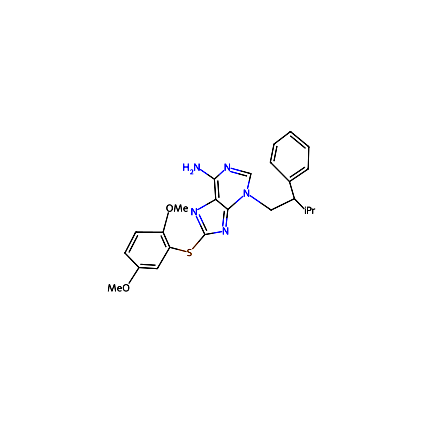 COc1ccc(OC)c(Sc2nc3c(N)ncn(CC(c4ccccc4)C(C)C)c-3n2)c1